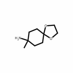 CC1(N)CCC2(CC1)OCCO2